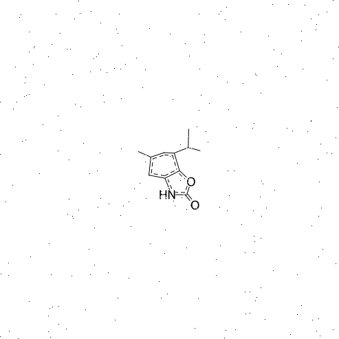 Cc1cc(C(C)C)c2oc(=O)[nH]c2c1